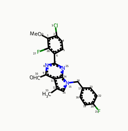 COc1c(Cl)ccc(-c2nc(C=O)c3c(C)cn(Cc4ccc(F)cc4)c3n2)c1F